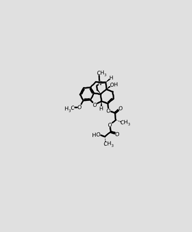 COc1ccc2c3c1O[C@H]1C(OC(=O)[C@H](C)OC(=O)[C@H](C)O)=CC[C@@]4(O)[C@@H](C2)N(C)CC[C@]314